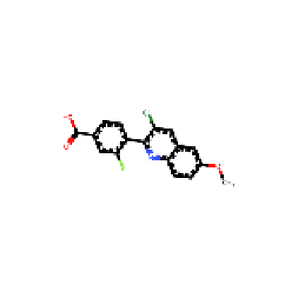 COc1ccc2nc(-c3ccc(C(=O)O)cc3F)c(Cl)cc2c1